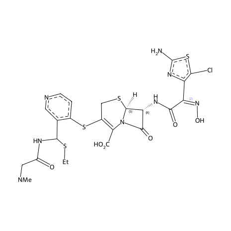 CCSC(NC(=O)CNC)c1cnccc1SC1=C(C(=O)O)N2C(=O)[C@@H](NC(=O)/C(=N\O)c3nc(N)sc3Cl)[C@@H]2SC1